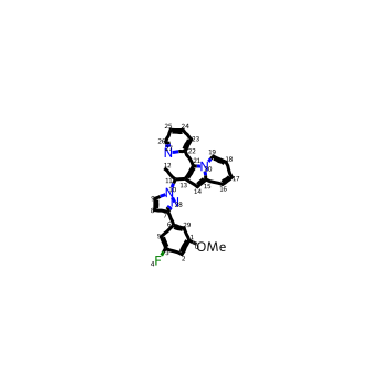 COc1cc(F)cc(-c2ccn(C(C)c3cc4ccccn4c3-c3ccccn3)n2)c1